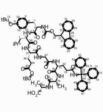 CC(C)C[C@H](NC(=O)[C@H](Cc1ccc(OC(C)(C)C)cc1)NC(=O)OCC1c2ccccc2-c2ccccc21)C(=O)N[C@@H](CCC(=O)OC(C)(C)C)C(=O)NCC(=O)N[C@@H](CCC(=O)NC(c1ccccc1)(c1ccccc1)c1ccccc1)C(=O)N[C@@H](C)C(=O)N[C@@H](C)C(=O)O